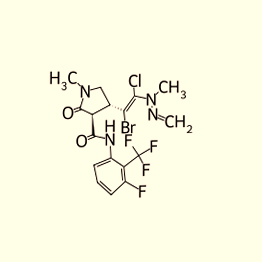 C=NN(C)/C(Cl)=C(\Br)[C@H]1CN(C)C(=O)[C@@H]1C(=O)Nc1cccc(F)c1C(F)(F)F